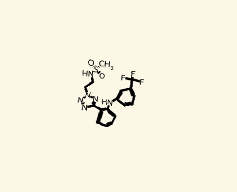 CS(=O)(=O)NCCn1nnc(-c2ccccc2Nc2cccc(C(F)(F)F)c2)n1